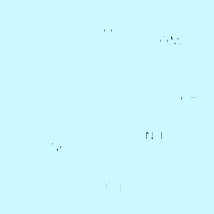 COC(=O)C1=C(C)NC(C)C(C#N)C1c1ccccc1